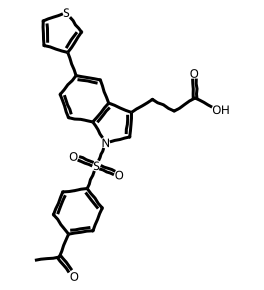 CC(=O)c1ccc(S(=O)(=O)n2cc(CCC(=O)O)c3cc(-c4ccsc4)ccc32)cc1